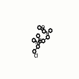 Clc1cccc(-c2ccc3c4c5ccc(-c6cccc(N(c7ccccc7)c7ccc8c(c7)oc7ccccc78)c6)cc5n(-c5ccccc5)c4n(-c4ccccc4)c3c2)c1